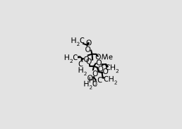 C=CC(=C)OCC(COC)(COCC(CCC(=O)C(=C)C)(COC(=O)C=C)COC(=O)C=C)COC(=O)C=C